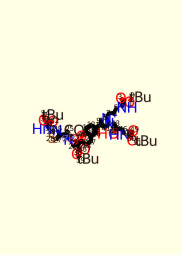 CC(C)(C)OC(=O)NCCC[n+]1cc(-c2ccc3c(c2)CCC(C(C)(O/N=C(\C(=O)O)c2csc(NC(=O)OC(C)(C)C)n2)C(=O)OC(C)(C)C)O3)cn1CC(O)CNC(=O)OC(C)(C)C